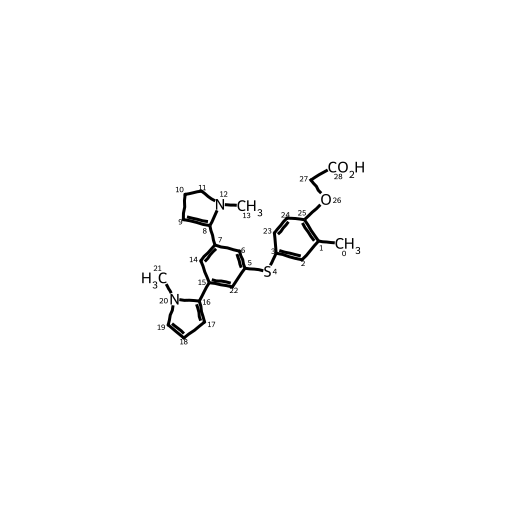 Cc1cc(Sc2cc(C3=CCCN3C)cc(-c3cccn3C)c2)ccc1OCC(=O)O